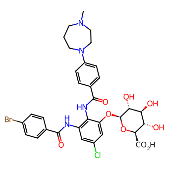 CN1CCCN(c2ccc(C(=O)Nc3c(NC(=O)c4ccc(Br)cc4)cc(Cl)cc3O[C@@H]3O[C@H](C(=O)O)[C@@H](O)[C@H](O)[C@H]3O)cc2)CC1